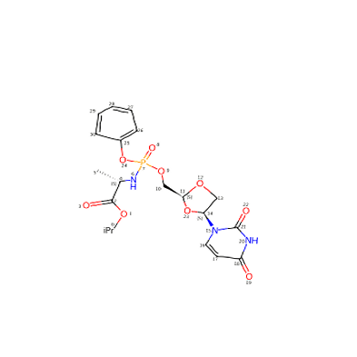 CC(C)OC(=O)[C@H](C)NP(=O)(OC[C@H]1OC[C@@H](n2ccc(=O)[nH]c2=O)O1)Oc1ccccc1